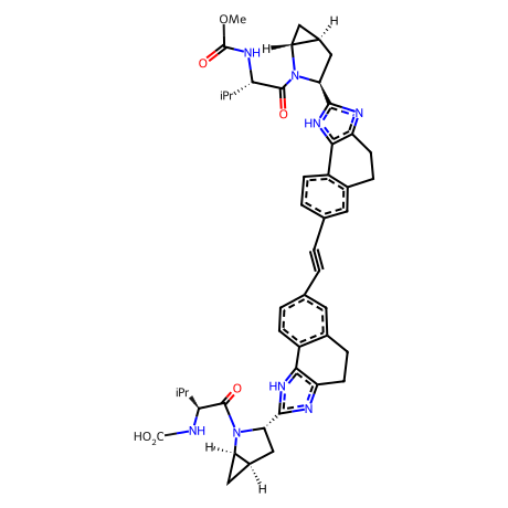 COC(=O)N[C@H](C(=O)N1[C@@H]2C[C@H]2C[C@H]1c1nc2c([nH]1)-c1ccc(C#Cc3ccc4c(c3)CCc3nc([C@@H]5C[C@H]6C[C@H]6N5C(=O)[C@@H](NC(=O)O)C(C)C)[nH]c3-4)cc1CC2)C(C)C